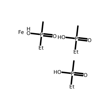 CCP(C)(=O)O.CCP(C)(=O)O.CCP(C)(=O)O.[Fe]